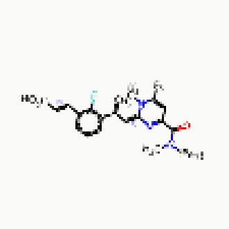 C=C(/C=C1/N=C(C(=O)N(C)C(C)CCC)C=C(CC)N1C)c1cccc(/C=C/C(=O)O)c1F